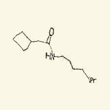 CC(C)CCCNC(=O)C1CCC1